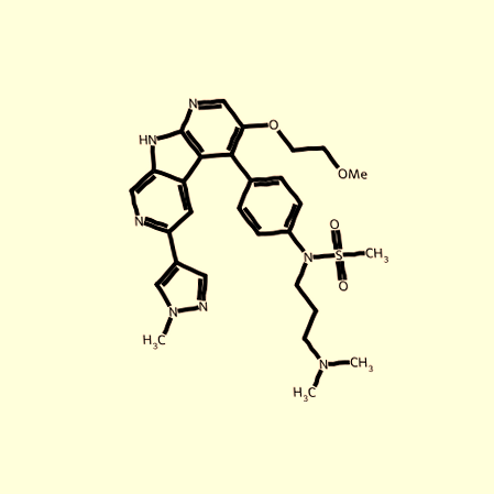 COCCOc1cnc2[nH]c3cnc(-c4cnn(C)c4)cc3c2c1-c1ccc(N(CCCN(C)C)S(C)(=O)=O)cc1